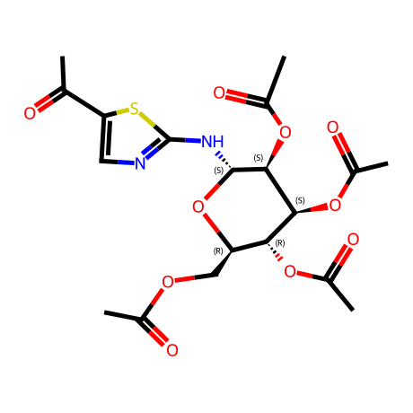 CC(=O)OC[C@H]1O[C@H](Nc2ncc(C(C)=O)s2)[C@@H](OC(C)=O)[C@@H](OC(C)=O)[C@@H]1OC(C)=O